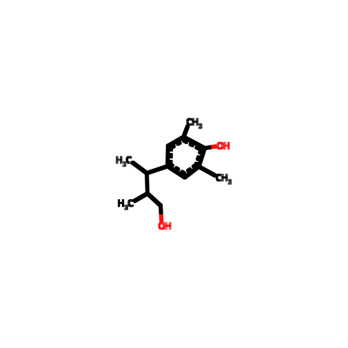 Cc1cc(C(C)C(C)CO)cc(C)c1O